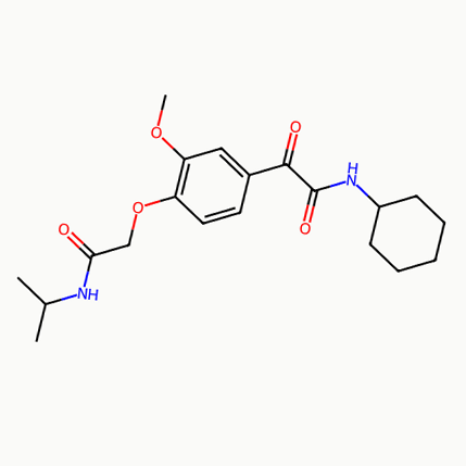 COc1cc(C(=O)C(=O)NC2CCCCC2)ccc1OCC(=O)NC(C)C